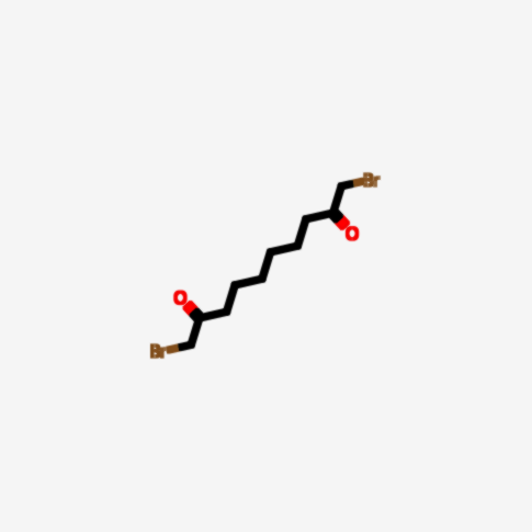 O=C(CBr)CCCCCCC(=O)CBr